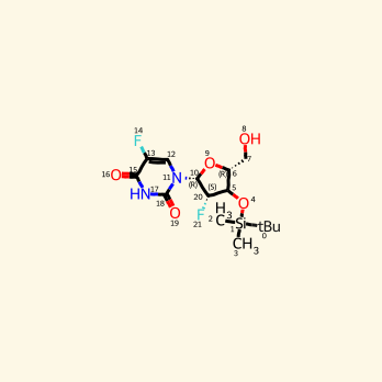 CC(C)(C)[Si](C)(C)OC1[C@@H](CO)O[C@@H](n2cc(F)c(=O)[nH]c2=O)[C@H]1F